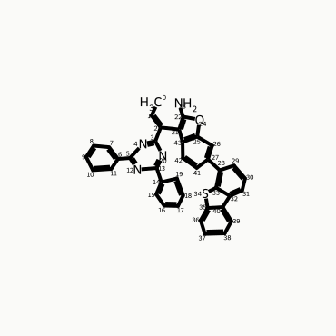 C/C=C(/c1nc(-c2ccccc2)nc(-c2ccccc2)n1)c1c(N)oc2cc(-c3cccc4c3sc3ccccc34)ccc12